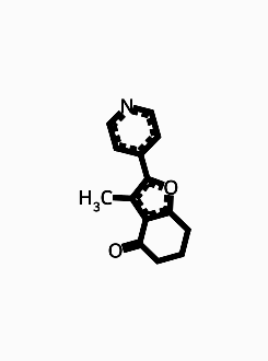 Cc1c(-c2ccncc2)oc2c1C(=O)CCC2